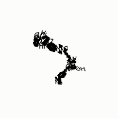 COc1cc(N2CCN(C(=O)CCCCC(=O)NC(C(=O)N3C[C@H](O)C[C@H]3C(=O)NCc3ccc(-c4scnc4C)cc3)C(C)(C)C)CC2)ccc1Nc1ncc(Cl)c(Nc2ccccc2P(C)(C)=O)n1